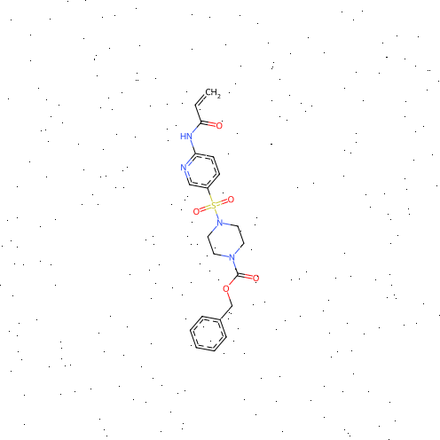 C=CC(=O)Nc1ccc(S(=O)(=O)N2CCN(C(=O)OCc3ccccc3)CC2)cn1